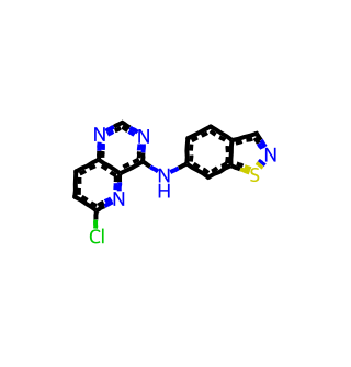 Clc1ccc2ncnc(Nc3ccc4cnsc4c3)c2n1